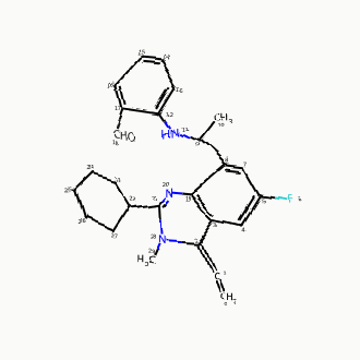 C=C=C1c2cc(F)cc(C(C)Nc3ccccc3C=O)c2N=C(C2CCCCC2)N1C